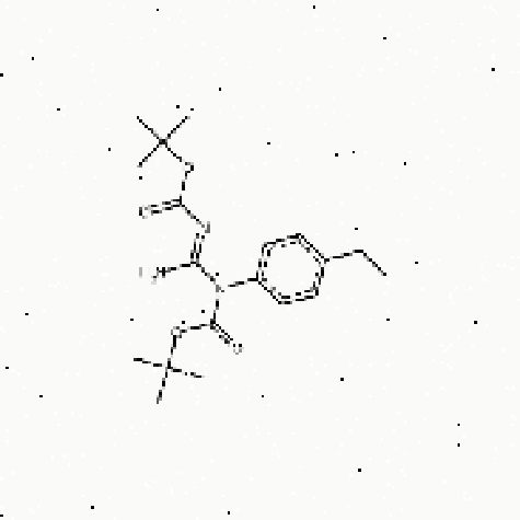 CCc1ccc(N(C(=O)OC(C)(C)C)C(N)=NC(=O)OC(C)(C)C)cc1